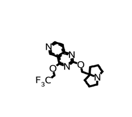 FC(F)(F)COc1nc(OCC23CCCN2CCC3)nc2ccncc12